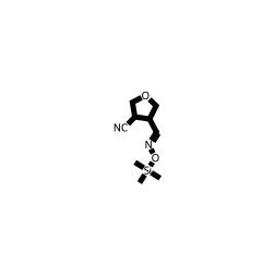 C[Si](C)(C)O/N=C/C1COCC1C#N